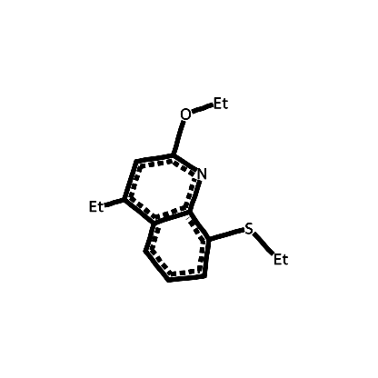 CCOc1cc(CC)c2cccc(SCC)c2n1